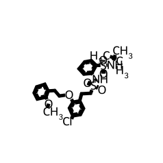 COc1ccccc1CCOc1cc(Cl)ccc1CCS(=O)(=O)Nc1ccccc1S(=O)(=O)NC(C)(C)C